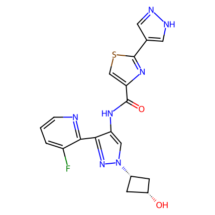 O=C(Nc1cn([C@H]2C[C@@H](O)C2)nc1-c1ncccc1F)c1csc(-c2cn[nH]c2)n1